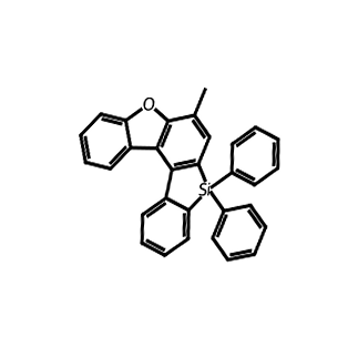 Cc1cc2c(c3c1oc1ccccc13)-c1ccccc1[Si]2(c1ccccc1)c1ccccc1